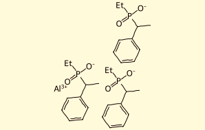 CCP(=O)([O-])C(C)c1ccccc1.CCP(=O)([O-])C(C)c1ccccc1.CCP(=O)([O-])C(C)c1ccccc1.[Al+3]